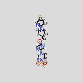 CS(=O)(=O)N1CCN(c2cnc(OCC3CCN(c4ccc(F)cn4)CC3)cn2)CC1